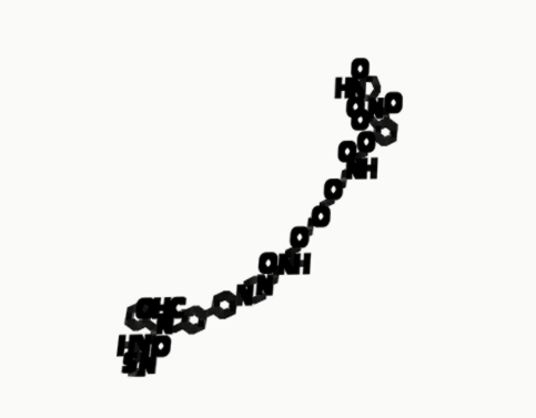 CN(Cc1ccc(-c2ccc(N3CCN(CC(=O)NCCOCCOCCOCCNC(=O)COc4cccc5c4C(=O)N(C4CCC(=O)NC4=O)C5=O)CC3)cc2)cc1C=O)C(C(=O)Nc1nccs1)c1ccccc1